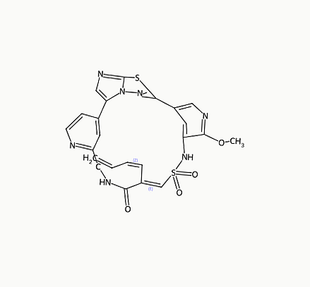 C=C/C=C\C1=C/S(=O)(=O)Nc2cc(cnc2OC)-c2nn3c(cnc3s2)-c2ccnc(c2)CNC1=O